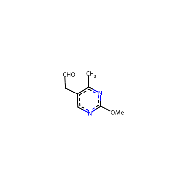 COc1ncc(CC=O)c(C)n1